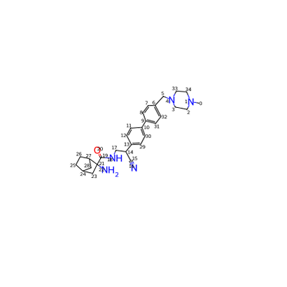 CN1CCN(Cc2ccc(-c3ccc(C(C#N)CNC(=O)C4(N)CC5CCC4C5)cc3)cc2)CC1